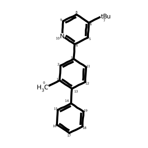 Cc1cc(-c2cc(C(C)(C)C)ccn2)ccc1-c1ccccc1